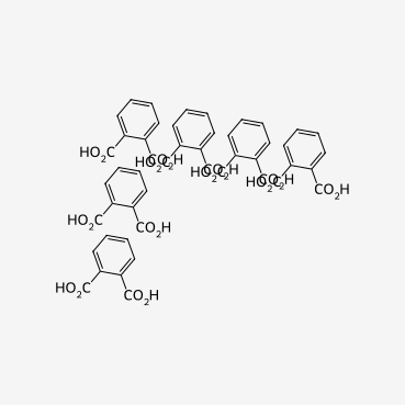 O=C(O)c1ccccc1C(=O)O.O=C(O)c1ccccc1C(=O)O.O=C(O)c1ccccc1C(=O)O.O=C(O)c1ccccc1C(=O)O.O=C(O)c1ccccc1C(=O)O.O=C(O)c1ccccc1C(=O)O